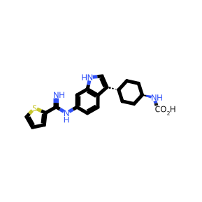 N=C(Nc1ccc2c(c1)[nH]cc2[C@H]1CC[C@H](NC(=O)O)CC1)c1cccs1